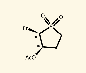 CC[C@@H]1[C@H](OC(C)=O)CCS1(=O)=O